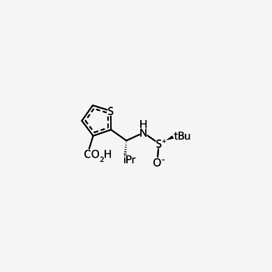 CC(C)[C@@H](N[S@+]([O-])C(C)(C)C)c1sccc1C(=O)O